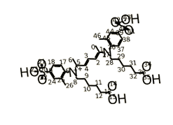 C\C(=C/C=C/C(C)=[N+](\CCCCCC(=O)O)c1ccc(S(=O)(=O)O)cc1C)N(CCCCCC(=O)O)c1ccc(S(=O)(=O)O)cc1C